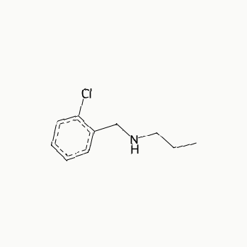 CCCNCc1ccccc1Cl